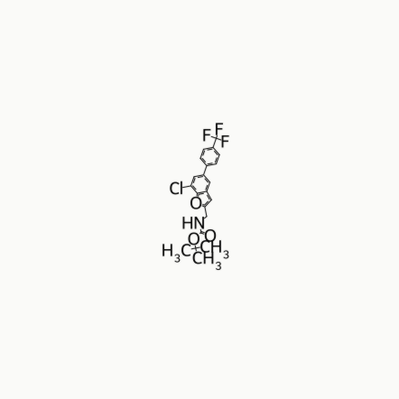 CC(C)(C)OC(=O)NCc1cc2cc(-c3ccc(C(F)(F)F)cc3)cc(Cl)c2o1